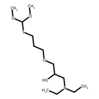 CCN(CC)CC(O)COCCCSC(OC)OC